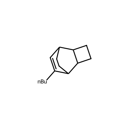 CCCCC1=CC2CCC1C1CCC21